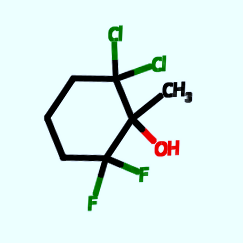 CC1(O)C(F)(F)CCCC1(Cl)Cl